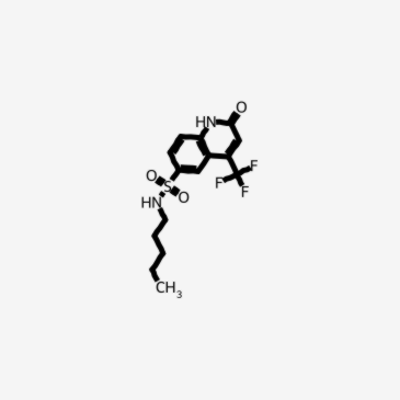 CCCCCNS(=O)(=O)c1ccc2[nH]c(=O)cc(C(F)(F)F)c2c1